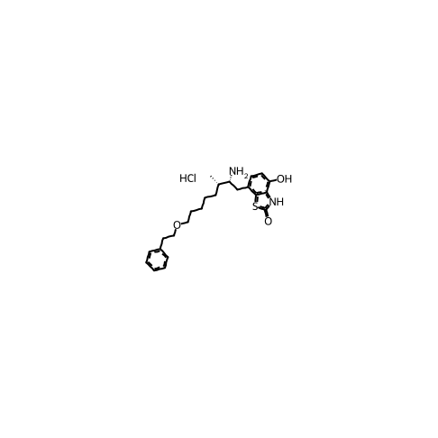 C[C@@H](CCCCCOCCc1ccccc1)[C@H](N)Cc1ccc(O)c2[nH]c(=O)sc12.Cl